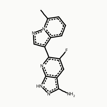 Cc1cccc2c(-c3nc4[nH]nc(N)c4cc3F)cnn12